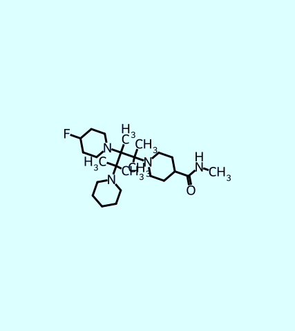 CNC(=O)C1CCN(C(C)(C)C(C)(N2CCC(F)CC2)C(C)(C)N2CCCCC2)CC1